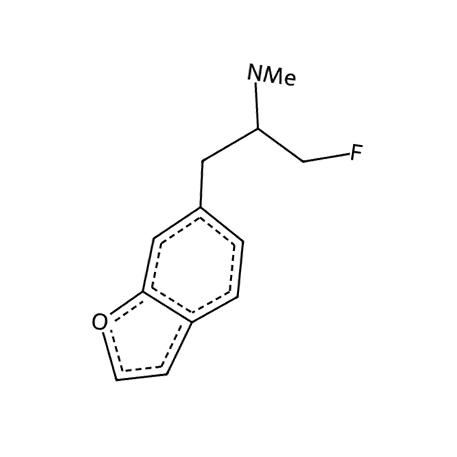 CNC(CF)Cc1ccc2ccoc2c1